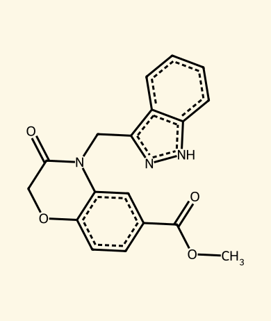 COC(=O)c1ccc2c(c1)N(Cc1n[nH]c3ccccc13)C(=O)CO2